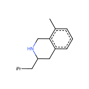 Cc1cccc2c1CNC(CC(C)C)C2